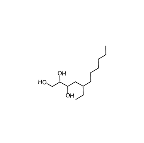 CCCCCCC(CC)CC(O)C(O)CO